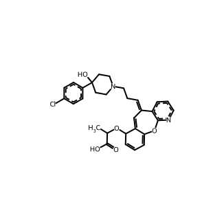 CC(OC1C=CC=C2Oc3ncccc3C(=CCCN3CCC(O)(c4ccc(Cl)cc4)CC3)C=C21)C(=O)O